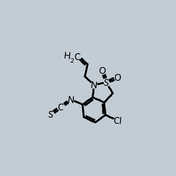 C=CCN1c2c(N=C=S)ccc(Cl)c2CS1(=O)=O